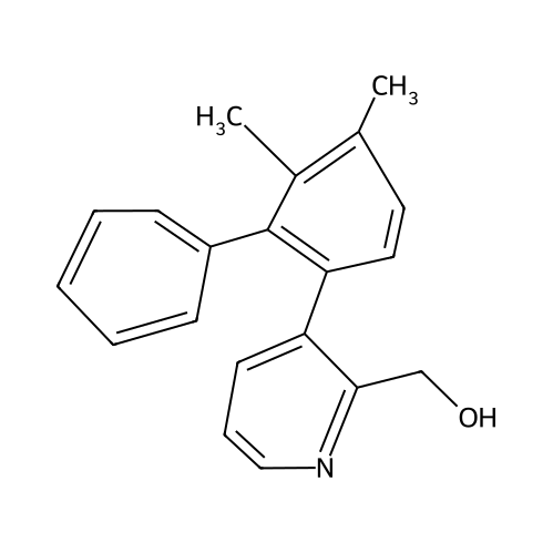 Cc1ccc(-c2cccnc2CO)c(-c2ccccc2)c1C